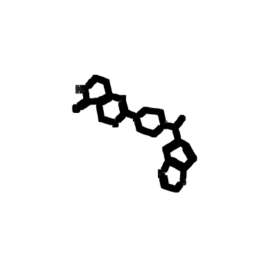 CC(c1ccc2c(c1)N=CCS2)N1CCN(C2=NC3=C(CS2)C(=O)NCC3)CC1